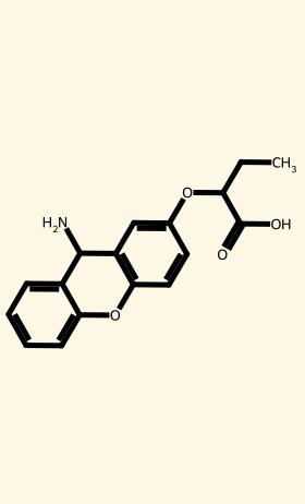 CCC(Oc1ccc2c(c1)C(N)c1ccccc1O2)C(=O)O